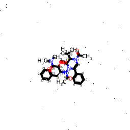 CC(=O)N1C=C(c2ccccc2)N(N(C(C)=O)[C@@H](Cc2ccccc2)C(O)C(=O)N(C)C)C(=O)C1C(C)C